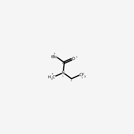 CN(CC(F)(F)F)C(=O)C(C)(C)C